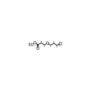 CCOC(=O)CCOCCCCl